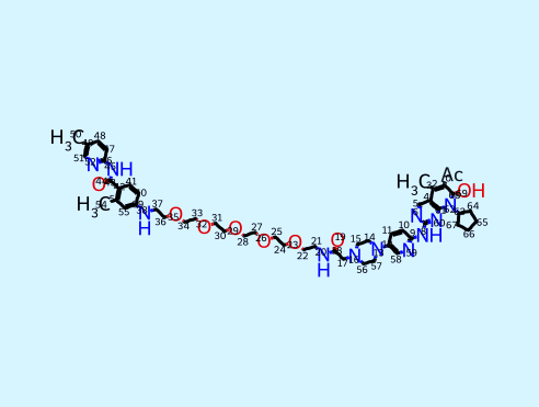 CC(=O)C1=C(C)c2cnc(Nc3ccc(N4CCN(CC(=O)NCCOCCOCCOCCOCCOCCNc5ccc(C(=O)Nc6ccc(C)cn6)c(C)c5)CC4)cn3)nc2N(C2CCCC2)C1O